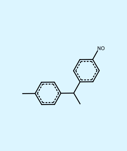 Cc1ccc(C(C)c2ccc(N=O)cc2)cc1